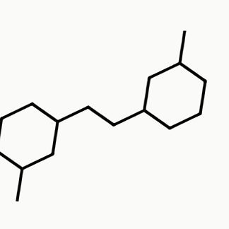 CC1CCCC(CCC2CCCC(C)C2)C1